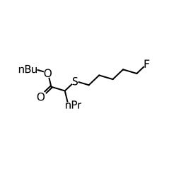 CCCCOC(=O)C(CCC)SCCCCCF